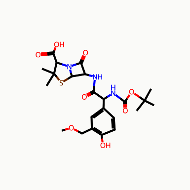 COCc1cc(C(NC(=O)OC(C)(C)C)C(=O)NC2C(=O)N3C2SC(C)(C)C3C(=O)O)ccc1O